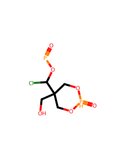 O=POC(Cl)C1(CO)CO[PH](=O)OC1